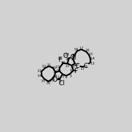 O=C(Cl)C1CCC(F)C(C2CCCCCCCCCCC2)C(C(=O)Cl)C(F)CC1C1CCCCCCCCC1